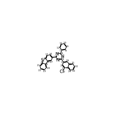 Clc1cc(-c2nc(-c3ccccc3)nc(-c3ccc4sc5ccccc5c4c3)n2)cc2ccccc12